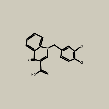 O=C(O)c1cn(Cc2ccc(Cl)c(Cl)c2)c2ccccc2c1=O